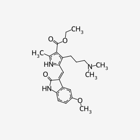 CCOC(=O)c1c(C)[nH]c(C=C2C(=O)Nc3ccc(OC)cc32)c1CCCN(C)C